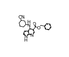 N#CC1CCCC(Nc2c(C(=O)OCc3ccccc3)cnc3[nH]ccc23)C1